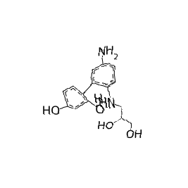 Nc1ccc(NCC(O)CO)c(-c2ccc(O)cc2O)c1